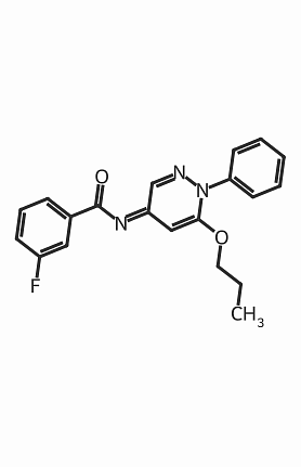 CCCOc1cc(=NC(=O)c2cccc(F)c2)cnn1-c1ccccc1